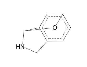 c1cc2c3cc1OC3NC2